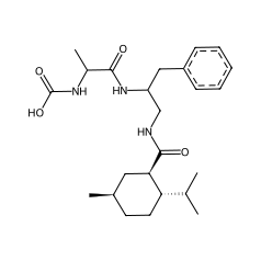 CC(NC(=O)O)C(=O)NC(CNC(=O)[C@@H]1C[C@H](C)CC[C@H]1C(C)C)Cc1ccccc1